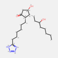 CCCCCC(O)CC[C@H]1[C@H](O)CC(=O)[C@@H]1CCCCCCc1nnn[nH]1